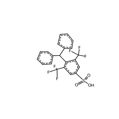 O=S(=O)(O)c1cc(C(F)(F)F)c(C(c2ccccc2)c2ccccc2)c(C(F)(F)F)c1